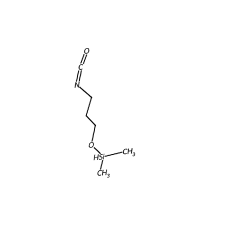 C[SiH](C)OCCCN=C=O